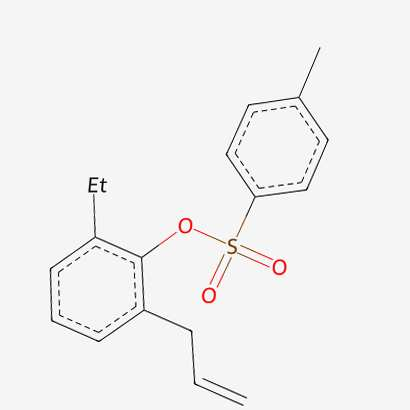 C=CCc1cccc(CC)c1OS(=O)(=O)c1ccc(C)cc1